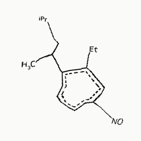 CCc1cc(N=O)ccc1C(C)CC(C)C